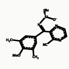 COc1c(C)cc(C(=N[S@+]([O-])C(C)(C)C)c2nccnc2C#N)cc1C